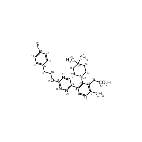 Cc1ncc(-c2nnc(OCCc3ccc(F)cc3)nn2)c(N2CCC(C)(C)CC2)c1CC(=O)O